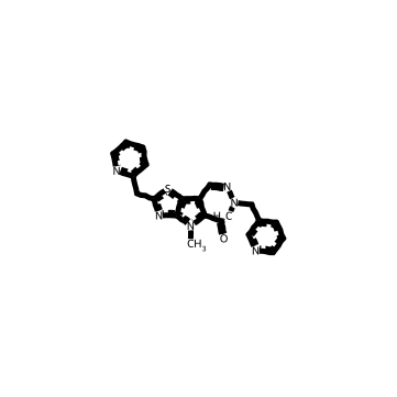 CN(Cc1cccnc1)/N=C\c1c(C=O)n(C)c2nc(Cc3ccccn3)sc12